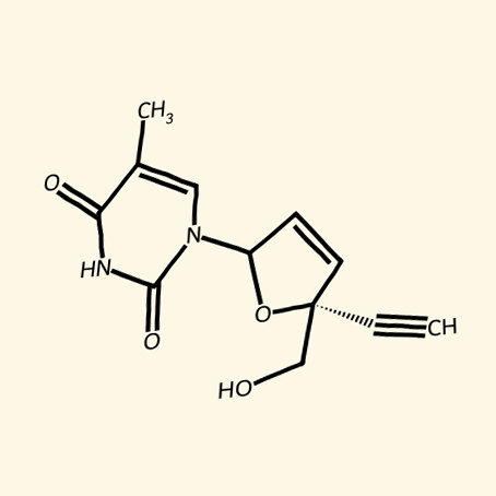 C#C[C@@]1(CO)C=CC(n2cc(C)c(=O)[nH]c2=O)O1